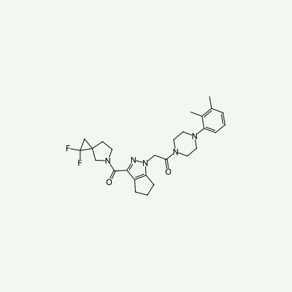 Cc1cccc(N2CCN(C(=O)Cn3nc(C(=O)N4CCC5(C4)CC5(F)F)c4c3CCC4)CC2)c1C